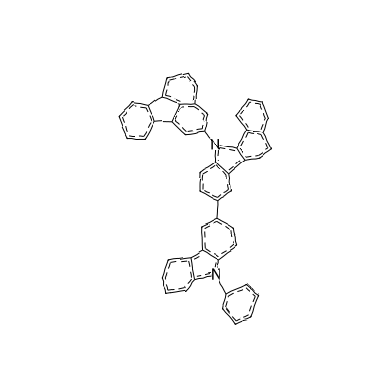 c1ccc(-n2c3ccccc3c3cc(-c4ccc5c(c4)c4ccc6ccccc6c4n5-c4cc5c6c(cccc6c4)-c4ccccc4-5)ccc32)cc1